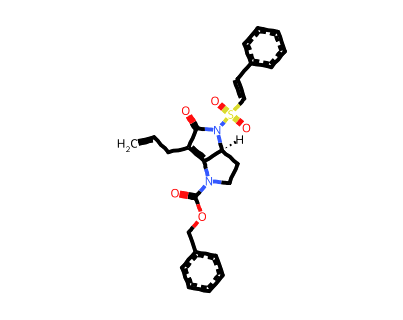 C=CCC1=C2[C@H](CCN2C(=O)OCc2ccccc2)N(S(=O)(=O)C=Cc2ccccc2)C1=O